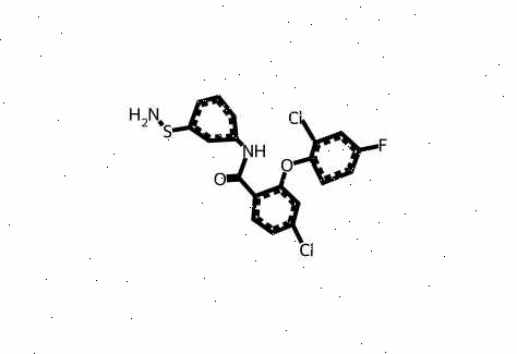 NSc1cccc(NC(=O)c2ccc(Cl)cc2Oc2ccc(F)cc2Cl)c1